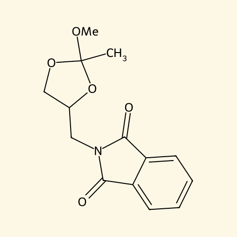 COC1(C)OCC(CN2C(=O)c3ccccc3C2=O)O1